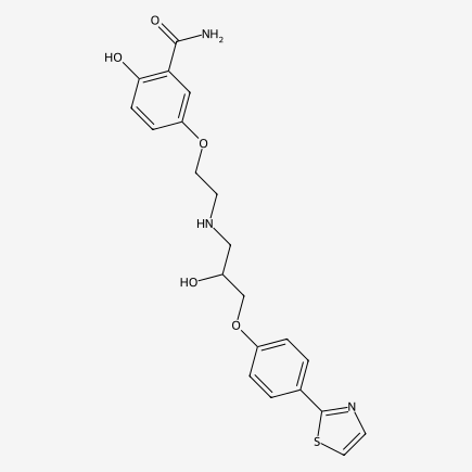 NC(=O)c1cc(OCCNCC(O)COc2ccc(-c3nccs3)cc2)ccc1O